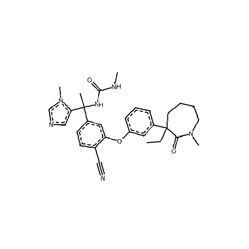 CCC1(c2cccc(Oc3cc(C(C)(NC(=O)NC)c4cncn4C)ccc3C#N)c2)CCCCN(C)C1=O